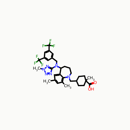 Cc1cc(C)c2c(c1)C(N(Cc1cc(C(F)(F)F)cc(C(F)(F)F)c1)c1nnn(C)n1)CCCN2CC1CCC(C)(C(=O)O)CC1